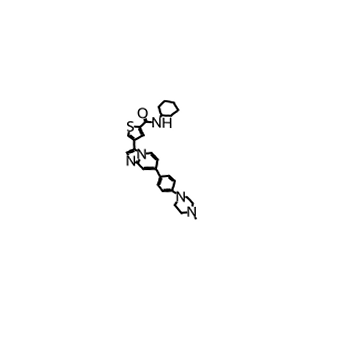 CN1CCN(c2ccc(-c3ccn4c(-c5csc(C(=O)NC6CCCCC6)c5)cnc4c3)cc2)CC1